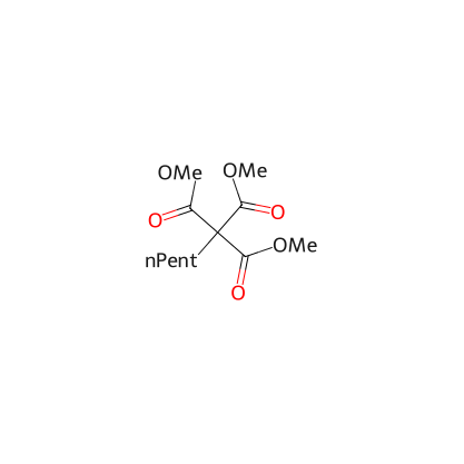 [CH2]CCCCC(C(=O)OC)(C(=O)OC)C(=O)OC